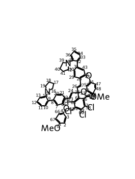 COc1ccc(Oc2cc(-c3ccccc3N3CCCC3)ccc2/C=C/C2(/C=C/c3ccc(-c4ccccc4N4CCCC4)cc3Oc3ccc(OC)cc3)OC(=O)c3c(Cl)c(Cl)c(Cl)c(Cl)c32)cc1